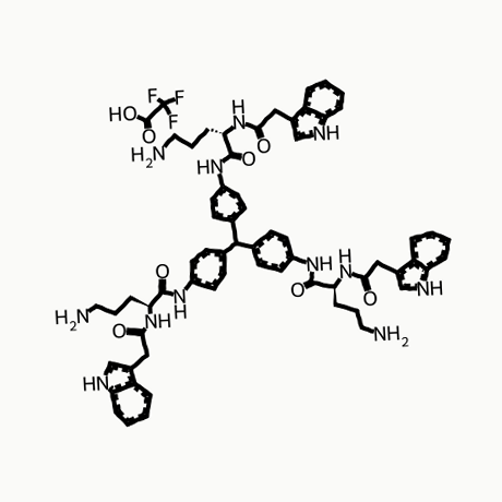 NCCC[C@H](NC(=O)Cc1c[nH]c2ccccc12)C(=O)Nc1ccc(C(c2ccc(NC(=O)[C@H](CCCN)NC(=O)Cc3c[nH]c4ccccc34)cc2)c2ccc(NC(=O)[C@H](CCCN)NC(=O)Cc3c[nH]c4ccccc34)cc2)cc1.O=C(O)C(F)(F)F